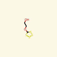 OCCOC1SSSS1